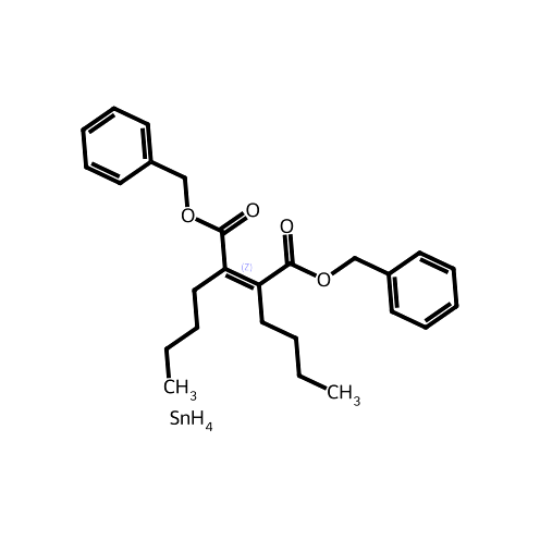 CCCC/C(C(=O)OCc1ccccc1)=C(\CCCC)C(=O)OCc1ccccc1.[SnH4]